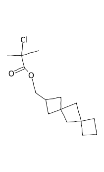 CC(C)(Cl)C(=O)OCC1CC2(C1)CC1(CCC1)C2